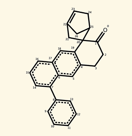 O=C1CCc2cc3c(-c4ccccc4)cccc3cc2C12CC1=CCC2C1